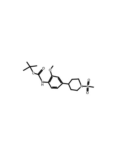 COc1cc(C2CCN(S(C)(=O)=O)CC2)ccc1NC(=O)OC(C)(C)C